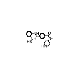 CN(C(=O)c1ccc(CNc2ccccc2NS)cc1)C1CCNCC1